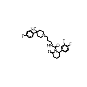 N#CC1(c2ccc(F)cc2)CCN(CCCNC(=O)N2C(=O)CCCC2c2ccc(F)c(F)c2)CC1